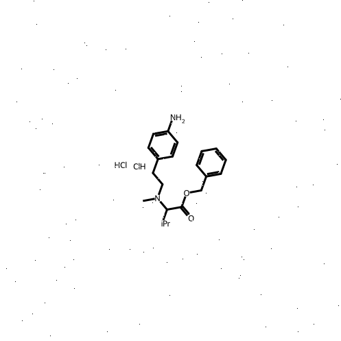 CC(C)C(C(=O)OCc1ccccc1)N(C)CCc1ccc(N)cc1.Cl.Cl